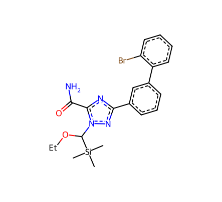 CCOC(n1nc(-c2cccc(-c3ccccc3Br)c2)nc1C(N)=O)[Si](C)(C)C